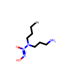 CC(C)CCCN(CCCN)/[N+]([O-])=N/O